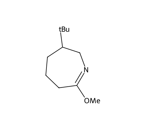 COC1=NCC(C(C)(C)C)CCC1